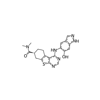 CN(C)C(=O)[C@H]1CCc2c(sc3ncnc(Nc4cc5cn[nH]c5cc4O)c23)C1